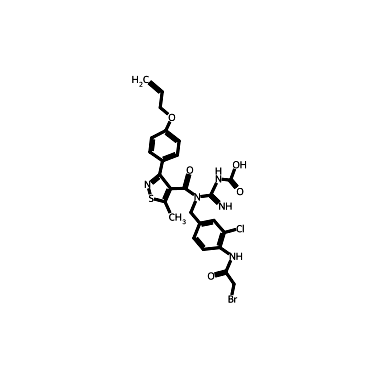 C=CCOc1ccc(-c2nsc(C)c2C(=O)N(Cc2ccc(NC(=O)CBr)c(Cl)c2)C(=N)NC(=O)O)cc1